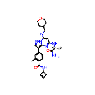 Cc1cc(-c2cnn3c(NCC4CCOCC4)cc(N[C@H](C(N)=O)C(C)C)nc23)ccc1C(=O)NC1C=CC1